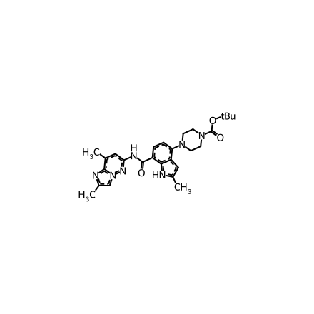 Cc1cn2nc(NC(=O)c3ccc(N4CCN(C(=O)OC(C)(C)C)CC4)c4cc(C)[nH]c34)cc(C)c2n1